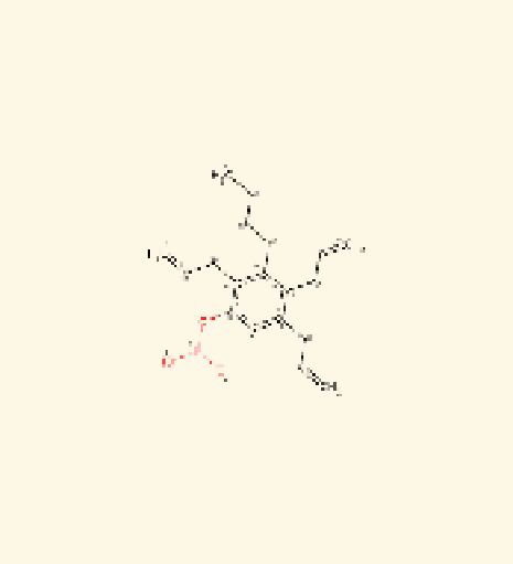 C=CCc1cc(OB(O)O)c(CC=C)c(CCCC)c1CC=C